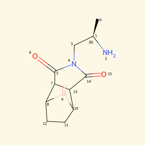 C[C@@H](N)CN1C(=O)C2C3BC(CC3)C2C1=O